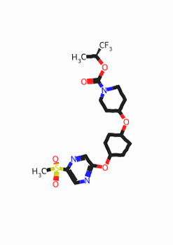 C[C@H](OC(=O)N1CCC(OC2CCC(Oc3cnc(S(C)(=O)=O)cn3)CC2)CC1)C(F)(F)F